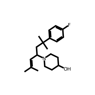 CC(C)=CC(CC(C)(C)c1ccc(F)cc1)N1CCC(O)CC1